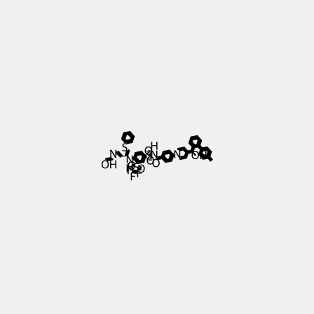 Cc1ccc(-c2ccccc2[C@@H](O)C2CCN(c3ccc(C(=O)NS(=O)(=O)c4ccc(N[C@H](CCN(C)CCO)CSc5ccccc5)c(S(=O)(=O)C(F)(F)F)c4)cc3)CC2)cc1